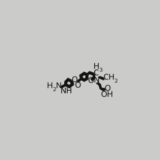 C=CCN(CCCC(=O)O)C(=O)C(C)=Cc1ccc(C(=O)Oc2ccc(C(=N)N)cc2)cc1